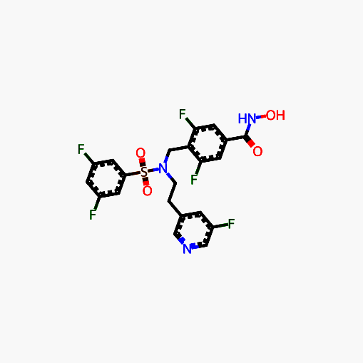 O=C(NO)c1cc(F)c(CN(CCc2cncc(F)c2)S(=O)(=O)c2cc(F)cc(F)c2)c(F)c1